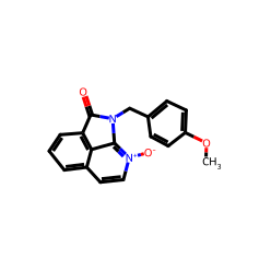 COc1ccc(CN2C(=O)c3cccc4cc[n+]([O-])c2c34)cc1